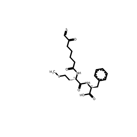 CSCC[C@H](NC(=O)CCCCC(=O)C=S)C(=O)N[C@@H](Cc1ccccc1)C(=O)O